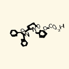 O=C(O)COc1cccc(CN2C(=O)CCC2c2nc(-c3ccccc3)c(-c3ccccc3)o2)c1